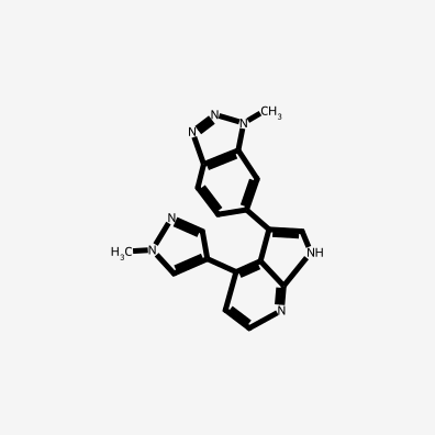 Cn1cc(-c2ccnc3[nH]cc(-c4ccc5nnn(C)c5c4)c23)cn1